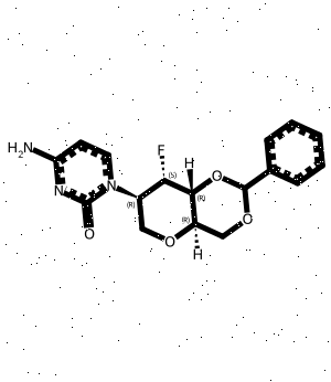 Nc1ccn([C@@H]2CO[C@@H]3COC(c4ccccc4)O[C@H]3[C@H]2F)c(=O)n1